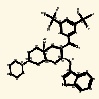 O=C(c1cc(C(F)(F)F)cc(C(F)(F)F)c1)N1C[C@H]2CC[C@H](N3CCOCC3)CN2C[C@H]1Cc1c[nH]c2ccccc12